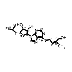 CCC(I)C[C@H]1OC(n2cnc3c(NC/C=C(/C)CO)ncnc32)[C@H](O)[C@@H]1O